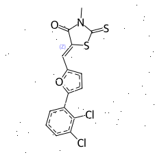 CN1C(=O)/C(=C/c2ccc(-c3cccc(Cl)c3Cl)o2)SC1=S